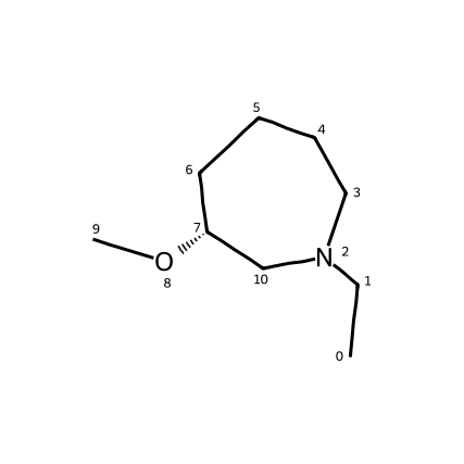 CCN1CCCC[C@@H](OC)C1